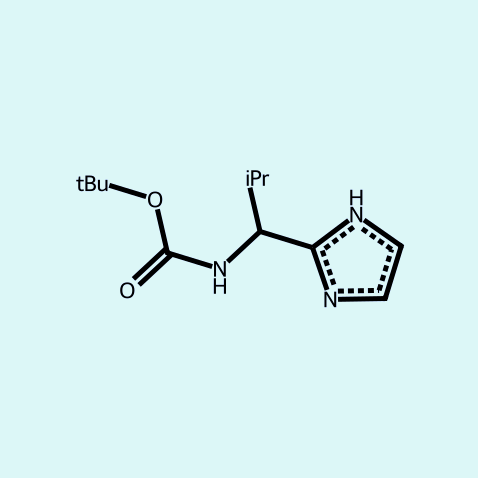 CC(C)C(NC(=O)OC(C)(C)C)c1ncc[nH]1